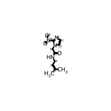 CC(C)=CCNC(=O)Cn1ccnc1[N+](=O)[O-]